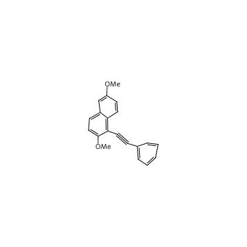 COc1ccc2c(C#Cc3ccccc3)c(OC)ccc2c1